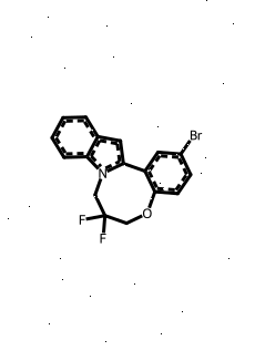 FC1(F)COc2ccc(Br)cc2-c2cc3ccccc3n2C1